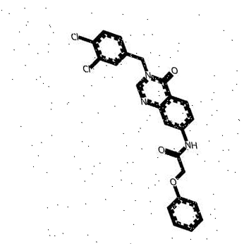 O=C(COc1ccccc1)Nc1ccc2c(=O)n(Cc3ccc(Cl)c(Cl)c3)cnc2c1